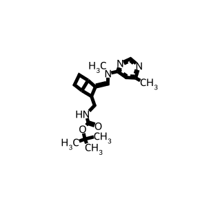 Cc1cc(N(C)/C=C2\C3CCC3C2CNC(=O)OC(C)(C)C)ncn1